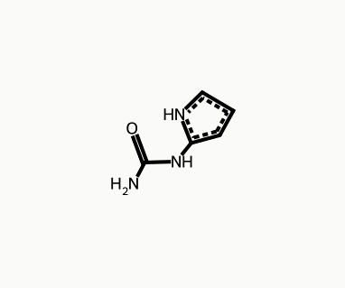 NC(=O)Nc1ccc[nH]1